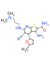 Cc1ccc(-c2c(C#N)c(NCCCN(C)C)nc3sc(C(N)=O)c(N)c23)o1